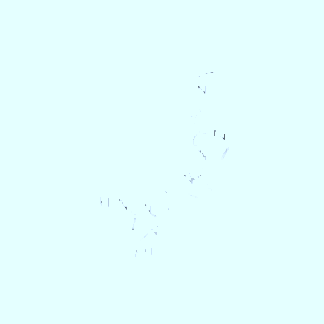 Cc1sc(-c2ccnc(OCCN3CCC3)c2)nc1[C@H](C)Sc1nc(N)cc(N)n1